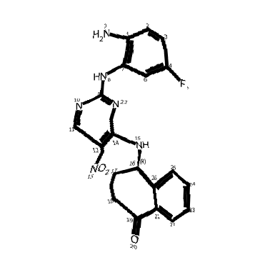 Nc1ccc(F)cc1Nc1ncc([N+](=O)[O-])c(N[C@@H]2CCC(=O)c3ccccc32)n1